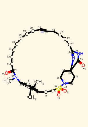 Cc1cc2cc(C)c1CCS(=O)(=O)N1CCC3(CC1)N=C(CCCC/C=C/CCCCCCCC(=O)N2C)NC3=O